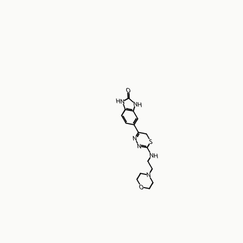 O=c1[nH]c2ccc(C3=NN=C(NCCN4CCOCC4)SC3)cc2[nH]1